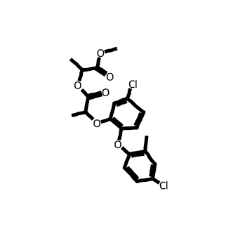 COC(=O)C(C)OC(=O)C(C)Oc1cc(Cl)ccc1Oc1ccc(Cl)cc1C